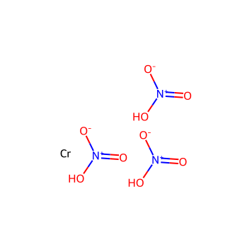 O=[N+]([O-])O.O=[N+]([O-])O.O=[N+]([O-])O.[Cr]